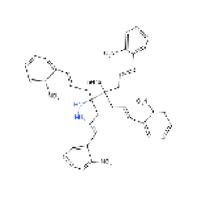 CCCCCCC(CC=Cc1ccccc1[N+](=O)[O-])(CC=Cc1ccccc1[N+](=O)[O-])C(CC=Cc1ccccc1[N+](=O)[O-])(CC=Cc1ccccc1[N+](=O)[O-])NN